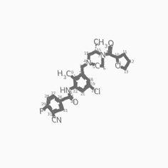 Cc1c(CN2CCN(C(=O)C3CCCO3)[C@@H](C)C2)cc(Cl)cc1NC(=O)c1ccc(F)c(C#N)c1